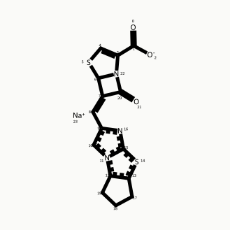 O=C([O-])C1=CSC2C(=Cc3cn4c5c(sc4n3)CCC5)C(=O)N12.[Na+]